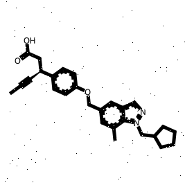 CC#C[C@@H](CC(=O)O)c1ccc(OCc2cc(C)c3c(cnn3CC3CCCC3)c2)cc1